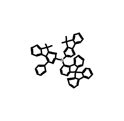 CC1(C)c2ccccc2-c2ccc(N(c3cc(-c4ccccc4)c4c(c3)C(C)(C)c3ccccc3-4)c3cccc4c3-c3ccccc3C43c4ccccc4-c4ccccc43)cc21